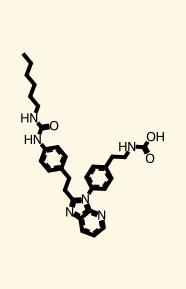 CCCCCCNC(=O)Nc1ccc(CCc2nc3cccnc3n2-c2ccc(CCNC(=O)O)cc2)cc1